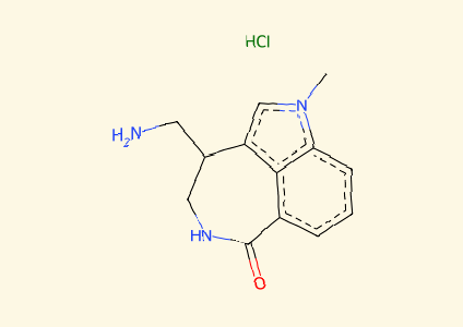 Cl.Cn1cc2c3c(cccc31)C(=O)NCC2CN